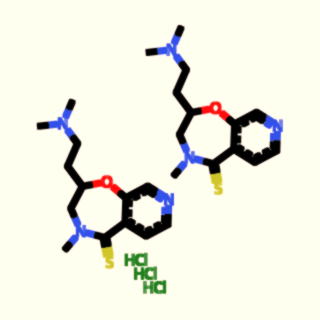 CN(C)CCC1CN(C)C(=S)c2ccncc2O1.CN(C)CCC1CN(C)C(=S)c2ccncc2O1.Cl.Cl.Cl